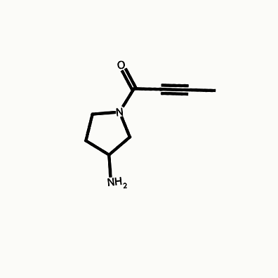 CC#CC(=O)N1CCC(N)C1